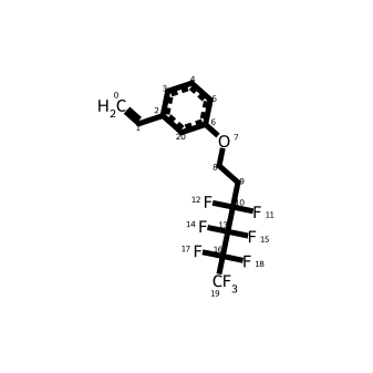 C=Cc1cccc(OCCC(F)(F)C(F)(F)C(F)(F)C(F)(F)F)c1